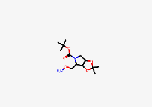 CC(C)(C)OC(=O)N1CC2OC(C)(C)OC2C1CON